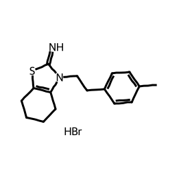 Br.Cc1ccc(CCn2c3c(sc2=N)CCCC3)cc1